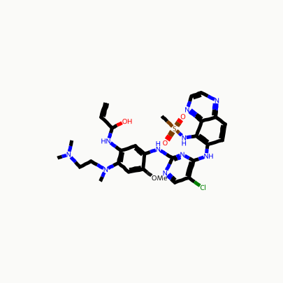 C=CC(O)Nc1cc(Nc2ncc(Cl)c(Nc3ccc4nccnc4c3NS(C)(=O)=O)n2)c(OC)cc1N(C)CCN(C)C